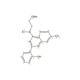 CCN(CCOC)c1nc(-c2ccccc2O)nc2cc(C)ccc12